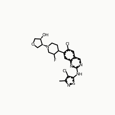 Cc1nsc(Nc2ncc3cc(Cl)c(C4CCN([C@H]5COC[C@H]5O)CC4F)cc3n2)c1Cl